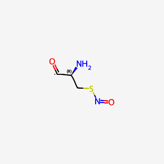 N[C@H]([C]=O)CSN=O